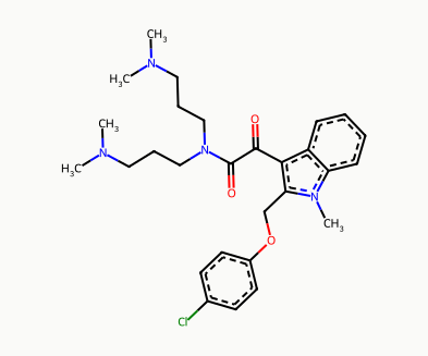 CN(C)CCCN(CCCN(C)C)C(=O)C(=O)c1c(COc2ccc(Cl)cc2)n(C)c2ccccc12